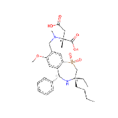 CCCC[C@]1(CC)CS(=O)(=O)c2cc(CN(C)[C@](C)(CC(=O)O)C(=O)O)c(OC)cc2[C@@H](c2ccccc2)N1